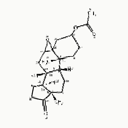 CC(=O)OC1CC[C@]2(C)[C@@H]3CC[C@]4(C)C(=O)CC[C@H]4[C@@H]3CC3OC32C1